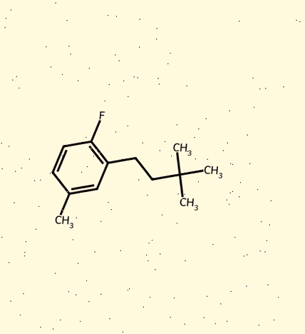 Cc1ccc(F)c(CCC(C)(C)C)c1